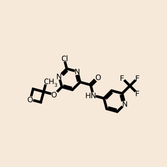 CC1(Oc2cc(C(=O)Nc3ccnc(C(F)(F)F)c3)nc(Cl)n2)COC1